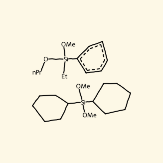 CCCO[Si](CC)(OC)c1ccccc1.CO[Si](OC)(C1CCCCC1)C1CCCCC1